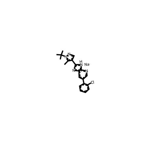 Cc1c(-c2nc3cc(-c4ccccc4Cl)cnc3[nH]2)cnn1C(C)(C)C.[Na]